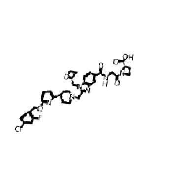 O=C(NCC(=O)N1CC[C@H]1C(=O)O)c1ccc2c(c1)nc(CN1CCC(c3cccc(OCc4ccc(Cl)cc4F)n3)CC1)n2C[C@@H]1CCO1